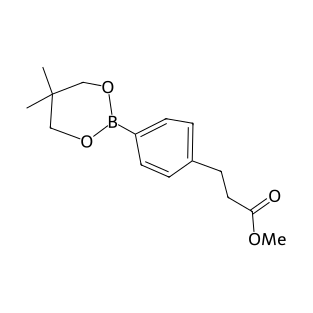 COC(=O)CCc1ccc(B2OCC(C)(C)CO2)cc1